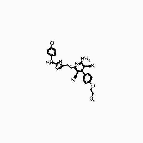 COCCOc1ccc(-c2c(C#N)c(N)nc(SCc3csc(Nc4ccc(Cl)cc4)n3)c2C#N)cc1